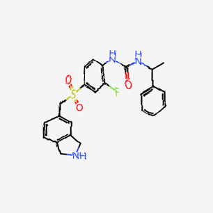 CC(NC(=O)Nc1ccc(S(=O)(=O)Cc2ccc3c(c2)CNC3)cc1F)c1ccccc1